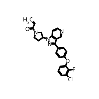 C=CC(=O)N1CCC(n2nc(-c3ccc(Oc4cccc(Cl)c4F)cc3)c3cnccc32)C1